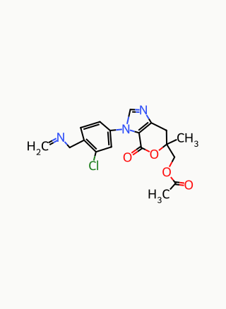 C=NCc1ccc(-n2cnc3c2C(=O)OC(C)(COC(C)=O)C3)cc1Cl